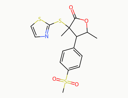 CC1OC(=O)C(C)(Sc2nccs2)C1c1ccc(S(C)(=O)=O)cc1